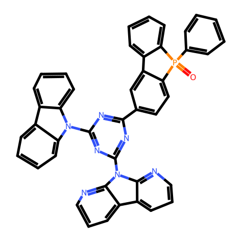 O=P1(c2ccccc2)c2ccccc2-c2cc(-c3nc(-n4c5ccccc5c5ccccc54)nc(-n4c5ncccc5c5cccnc54)n3)ccc21